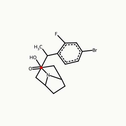 CC(C(=O)N1C2CCC1CC(O)C2)c1ccc(Br)cc1F